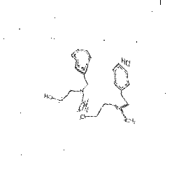 CN(CCCl)Cc1ccccc1.CN(CCO)Cc1ccccc1.Cl